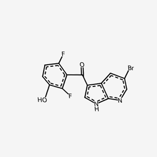 O=C(c1c(F)ccc(O)c1F)c1c[nH]c2ncc(Br)cc12